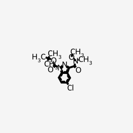 CON(C)C(=O)c1nn(C(=O)OC(C)(C)C)c2ccc(Cl)cc12